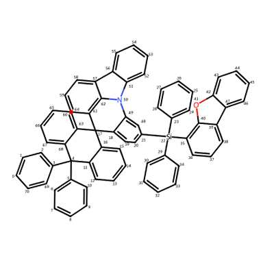 c1ccc(C2(c3ccccc3)c3ccccc3C3(c4ccc([Si](c5ccccc5)(c5ccccc5)c5cccc6c5oc5ccccc56)cc4-n4c5ccccc5c5cccc3c54)c3ccccc32)cc1